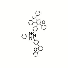 c1ccc(-c2nc(-c3ccc(-c4cccc5c4oc4ccccc45)cc3)nc(-c3ccc(-c4c5c(cc6c(-c7ccccc7)nc7ccccc7c46)oc4ccccc45)cc3)n2)cc1